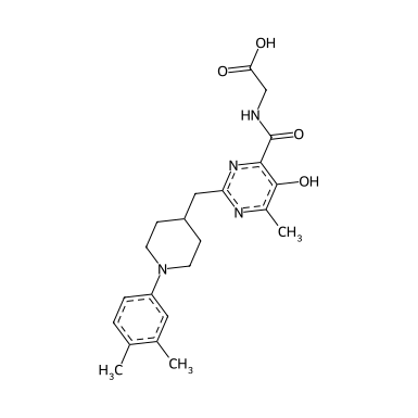 Cc1ccc(N2CCC(Cc3nc(C)c(O)c(C(=O)NCC(=O)O)n3)CC2)cc1C